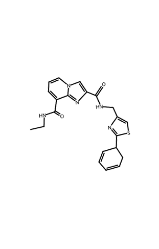 CCNC(=O)c1cccn2cc(C(=O)NCc3csc(C4C=CC=CC4)n3)nc12